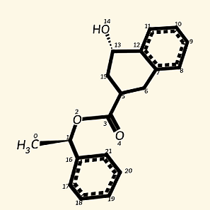 C[C@@H](OC(=O)C1Cc2ccccc2[C@@H](O)C1)c1ccccc1